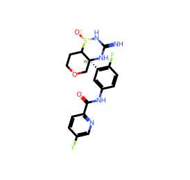 N=C1N[S+]([O-])C2CCOC[C@]2(c2cc(NC(=O)c3ccc(F)cn3)ccc2F)N1